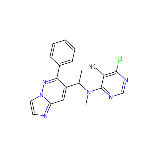 CC(c1cc2nccn2nc1-c1ccccc1)N(C)c1ncnc(Cl)c1C#N